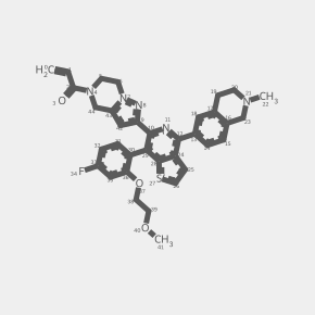 C=CC(=O)N1CCn2nc(-c3nc(-c4ccc5c(c4)CCN(C)C5)c4ccsc4c3-c3ccc(F)cc3OCCOC)cc2C1